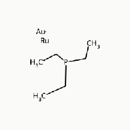 CCP(CC)CC.[Au].[Ru]